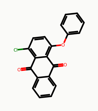 O=C1c2ccccc2C(=O)c2c(Oc3ccccc3)ccc(Cl)c21